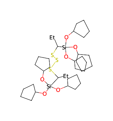 CCC(SSSC(CC)[Si](OC1CCCC1)(OC1CCCC1)OC1CCCC1)[Si](OC1CCCC1)(OC1CCCC1)OC1CCCC1